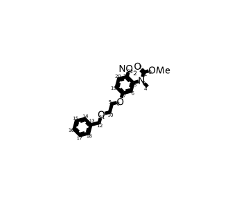 COC(=O)N(C)c1cc(OCCOCc2ccccc2)ccc1[N+](=O)[O-]